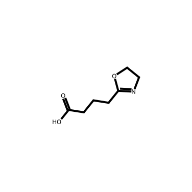 O=C(O)CCCC1=NCCO1